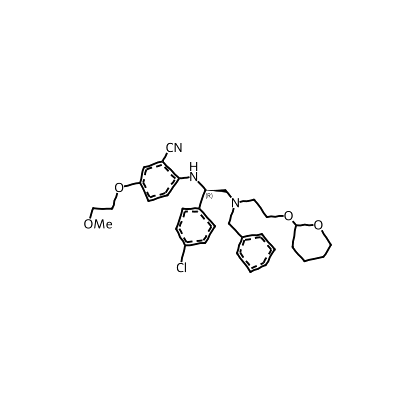 COCCOc1ccc(N[C@@H](CN(CCOC2CCCCO2)Cc2ccccc2)c2ccc(Cl)cc2)c(C#N)c1